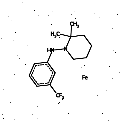 CC1(C)CCCCN1Nc1cccc(C(F)(F)F)c1.[Fe]